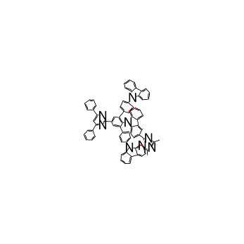 Cc1nc(C)nc(-c2ccc3c(c2)c2ccccc2n3-c2c(-c3ccc(-n4c5ccccc5c5ccccc54)cc3)cc(-c3nc(-c4ccccc4)cc(-c4ccccc4)n3)cc2-c2ccc(-n3c4ccccc4c4ccccc43)cc2)n1